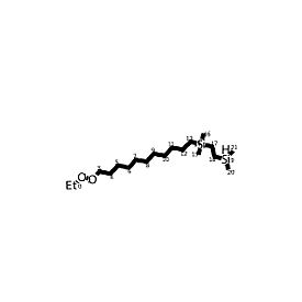 CCOOCCCCCCCCCCC[Si](C)(C)CC[SiH](C)C